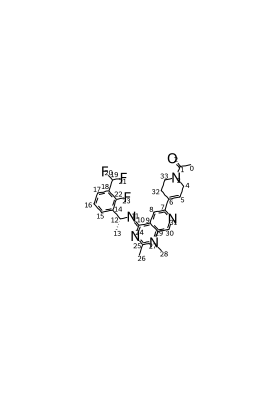 CC(=O)N1CC=C(c2cc3/c(=N/[C@H](C)c4cccc(C(F)F)c4F)nc(C)n(C)c3cn2)CC1